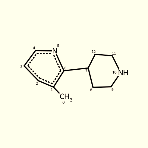 Cc1cccnc1C1CCNCC1